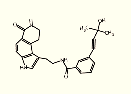 CC(C)(O)C#Cc1cccc(C(=O)NCCc2c[nH]c3ccc4c(c23)CCNC4=O)c1